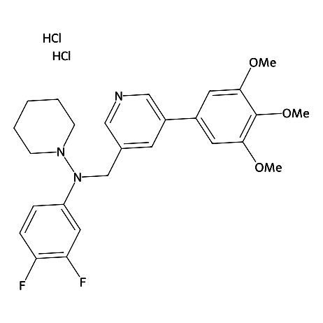 COc1cc(-c2cncc(CN(c3ccc(F)c(F)c3)N3CCCCC3)c2)cc(OC)c1OC.Cl.Cl